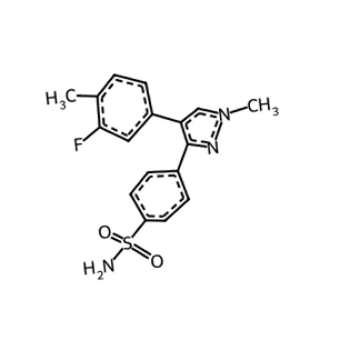 Cc1ccc(-c2cn(C)nc2-c2ccc(S(N)(=O)=O)cc2)cc1F